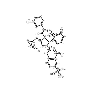 C[C@]1(C(=O)Nc2cccc(Cl)c2)[C@@H](c2cccc(Cl)c2F)[C@H](NCc2ccc(S(C)(=O)=O)cc2[N+](=O)[O-])[C@H](CO)N1CC1CC1